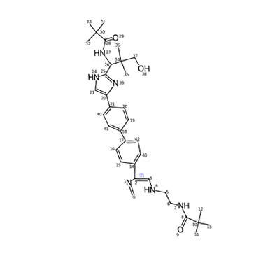 C=N/C(=C\NCCNC(=O)C(C)(C)C)c1ccc(-c2ccc(-c3c[nH]c(C(NC(=O)C(C)(C)C)C(C)(C)CO)n3)cc2)cc1